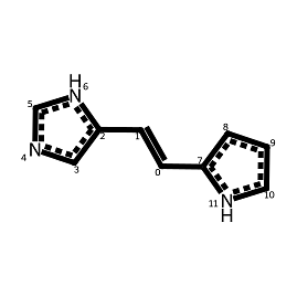 C(=Cc1cnc[nH]1)c1ccc[nH]1